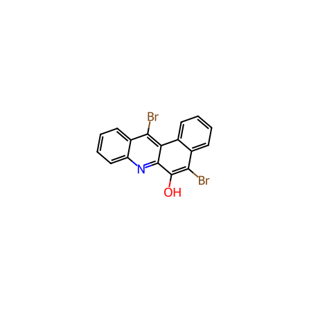 Oc1c(Br)c2ccccc2c2c(Br)c3ccccc3nc12